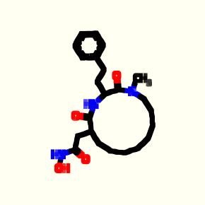 CN1CCCCCCCCC(CC(=O)NO)C(=O)NC(CCc2ccccc2)C1=O